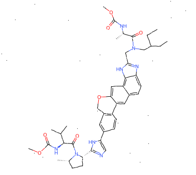 CCC(CC)CN(Cc1nc2ccc3cc4c(cc3c2[nH]1)OCc1cc(-c2cnc([C@@H]3CC[C@H](C)N3C(=O)[C@@H](NC(=O)OC)C(C)C)[nH]2)ccc1-4)C(=O)[C@H](C)NC(=O)OC